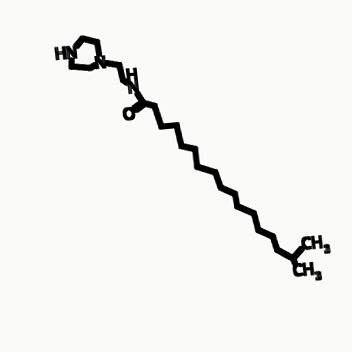 CC(C)CCCCCCCCCCCCCCC(=O)NCCN1CCNCC1